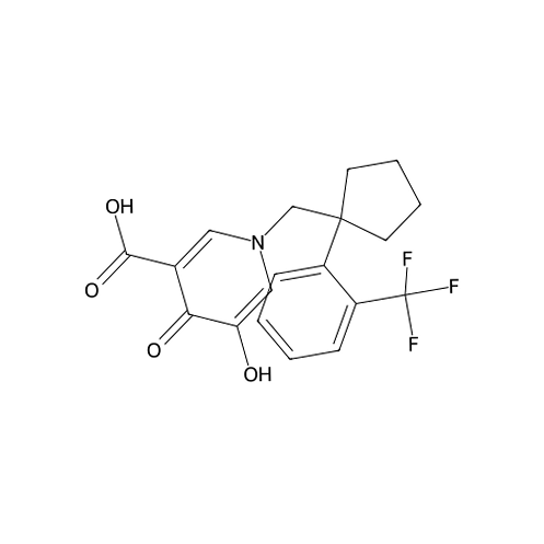 O=C(O)c1cn(CC2(c3ccccc3C(F)(F)F)CCCC2)cc(O)c1=O